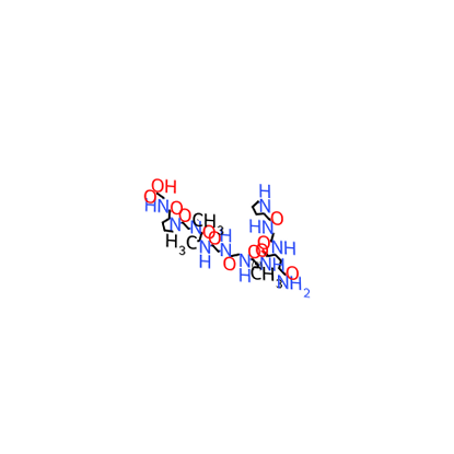 CC(NC(=O)CNC(=O)CNC(=O)[C@H](C)NC(=O)C(CCC(N)=O)NC(=O)CNC(=O)C1CCCN1)C(=O)N(C)CC(=O)N1CCCC1C(=O)NCC(=O)O